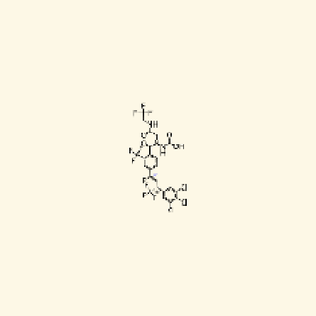 O=C(O)NN(CC(=O)NCC(F)(F)F)C(=O)c1ccc(/C(F)=C/[C@H](c2cc(Cl)c(Cl)c(Cl)c2)C(F)(F)F)cc1C(F)(F)F